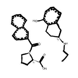 CCCN[C@H]1CCc2c(O)cccc2C1.O=C(O)[C@@H]1CCCN1C(=O)c1ccc2ccccc2c1